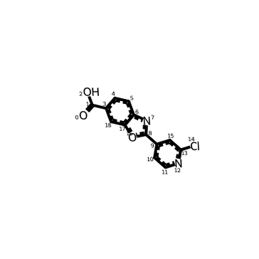 O=C(O)c1ccc2nc(-c3ccnc(Cl)c3)oc2c1